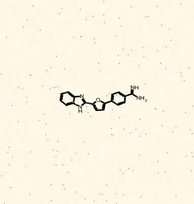 N=C(N)c1ccc(-c2ccc(-c3nc4ccccc4[nH]3)o2)cc1